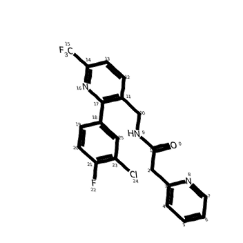 O=C(Cc1ccccn1)NCc1ccc(C(F)(F)F)nc1-c1ccc(F)c(Cl)c1